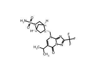 CC(C)c1cn(C[C@@H]2C[C@@H]3C[C@H]2CN3S(N)(=O)=O)c2nc(C(F)(F)F)nn2c1=O